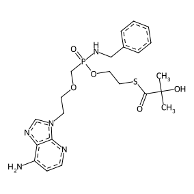 CC(C)(O)C(=O)SCCOP(=O)(COCCn1cnc2c(N)ccnc21)NCc1ccccc1